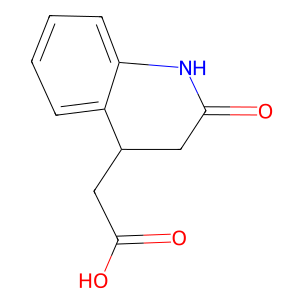 O=C(O)CC1CC(=O)Nc2ccccc21